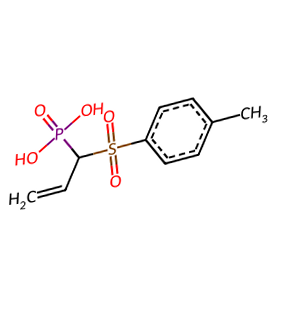 C=CC(P(=O)(O)O)S(=O)(=O)c1ccc(C)cc1